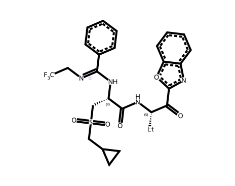 CC[C@H](NC(=O)[C@H](CS(=O)(=O)CC1CC1)N/C(=N/CC(F)(F)F)c1ccccc1)C(=O)c1nc2ccccc2o1